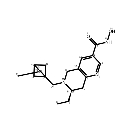 CC[C@@H]1Cc2ncc(C(=O)NO)cc2CN1CC12CC(C1)N(C)C2